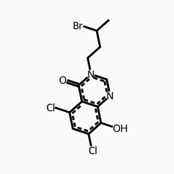 CC(Br)CCn1cnc2c(O)c(Cl)cc(Cl)c2c1=O